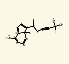 CCC(O)(C#CCC(C)C1=CC=C2C(O)=CC=CC21C)CC